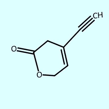 C#CC1=CCOC(=O)C1